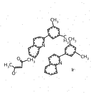 CC(=O)/C=C(\C)[O-].Cc1cc(C)cc(-c2ccc3ccccc3n2)c1.Cc1cc(C)cc(-c2ccc3ccccc3n2)c1.[Ir]